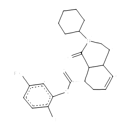 O=C(Nc1cc(C(F)(F)F)ccc1Cl)[C@H]1CC=CC2CCN(C3CCCCC3)C(=O)C21